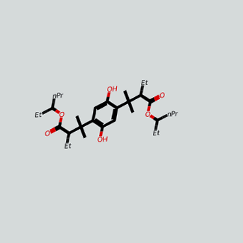 CCCC(CC)OC(=O)C(CC)C(C)(C)c1cc(O)c(C(C)(C)C(CC)C(=O)OC(CC)CCC)cc1O